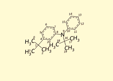 CC(C)(C)c1cccc(N(c2ccccc2)C(C)(C)C)c1